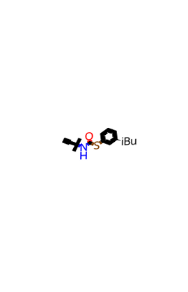 C#CC(C)(C)NC(=O)Sc1cccc([C@@H](C)CC)c1